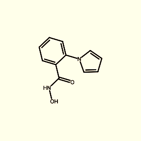 O=C(NO)c1ccccc1-n1cccc1